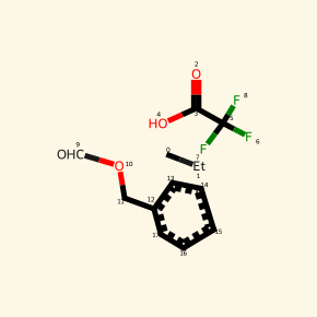 CCC.O=C(O)C(F)(F)F.O=COCc1ccccc1